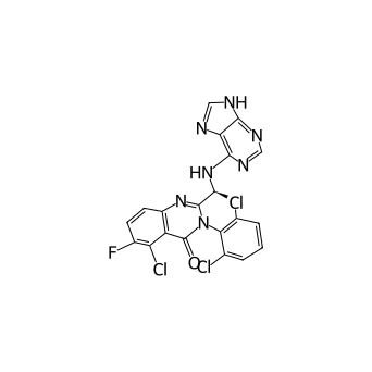 C[C@H](Nc1ncnc2[nH]cnc12)c1nc2ccc(F)c(Cl)c2c(=O)n1-c1c(Cl)cccc1Cl